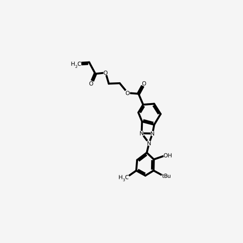 C=CC(=O)OCCOC(=O)c1ccc2c(c1)n1n(-c3cc(C)cc(C(C)(C)C)c3O)n21